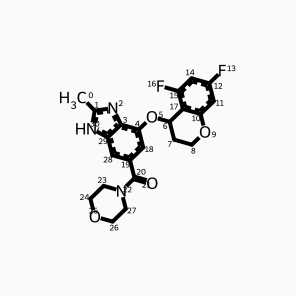 Cc1nc2c(OC3CCOc4cc(F)cc(F)c43)cc(C(=O)N3CCOCC3)cc2[nH]1